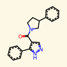 O=C(c1cn[nH]c1-c1ccccc1)N1CCC(c2ccccc2)C1